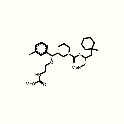 CNC[C@@H](CC1(C)CCCCC1)NC(=O)N1CCC[C@@H]([C@@H](OCCNC(=O)OC)c2cccc(F)c2)C1